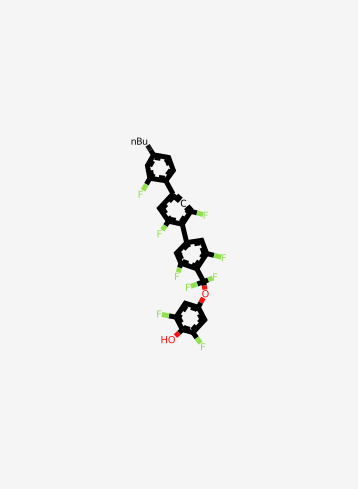 CCCCc1ccc(-c2cc(F)c(-c3cc(F)c(C(F)(F)Oc4cc(F)c(O)c(F)c4)c(F)c3)c(F)c2)c(F)c1